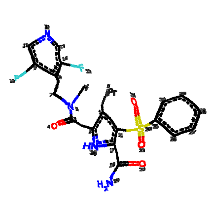 CC(C)c1c(C(=O)N(C)Cc2c(F)cncc2F)[nH]c(C(N)=O)c1S(=O)(=O)c1ccccc1